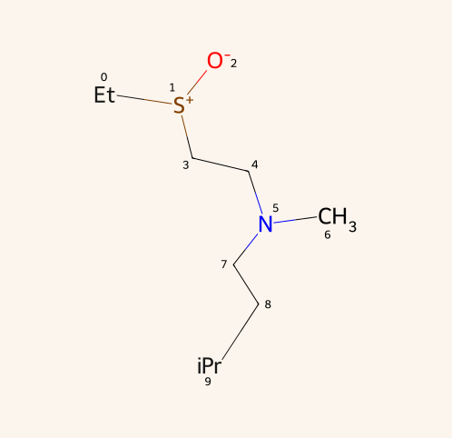 CC[S+]([O-])CCN(C)CCC(C)C